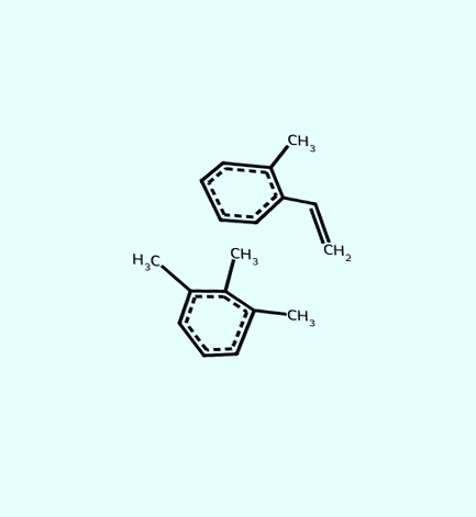 C=Cc1ccccc1C.Cc1cccc(C)c1C